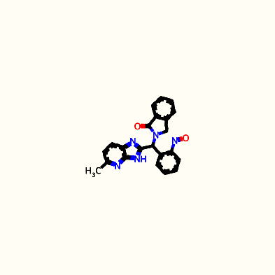 Cc1ccc2nc(C(c3ccccc3N=O)N3Cc4ccccc4C3=O)[nH]c2n1